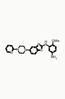 COc1ccc(N)cc1Nc1nc2cc(N3CCN(c4ccccn4)CC3)ccc2s1